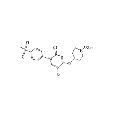 CS(=O)(=O)c1ccc(-n2cc(Cl)c(OC3CCN(C(=O)O)CC3)cc2=O)cc1